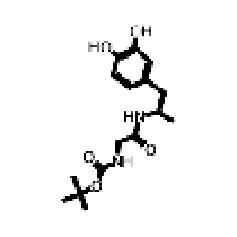 CC(Cc1ccc(O)c(O)c1)NC(=O)CNC(=O)OC(C)(C)C